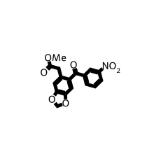 COC(=O)Cc1cc2c(cc1C(=O)c1cccc([N+](=O)[O-])c1)OCO2